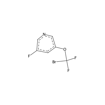 Fc1cncc(OC(F)(F)Br)c1